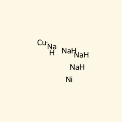 [Cu].[NaH].[NaH].[NaH].[NaH].[Ni]